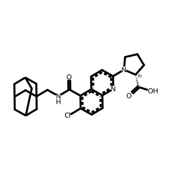 O=C(NCC12CC3CC(CC(C3)C1)C2)c1c(Cl)ccc2nc(N3CCC[C@@H]3C(=O)O)ccc12